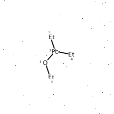 CC[O][Pb]([CH2]C)[CH2]C